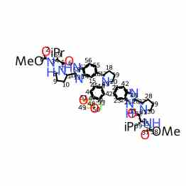 COC(=O)NC(C(=O)N1CCCC1c1nc2cc([C@H]3CC[C@H](c4ccc5[nH]c(C6CCCN6C(=O)[C@@H](NC(=O)OC)C(C)C)nc5c4)N3c3ccc(S(C)(=O)=O)c(F)c3)ccc2[nH]1)C(C)C